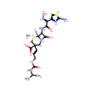 CC(C)NC(=O)OCC=CC1(C(=O)[O-])CS[C@@H]2C(NC(=O)C(=NO)c3csc(N)n3)C(=O)N2C1.[Na+]